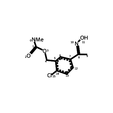 CNC(=O)OCc1cc(C(C)=NO)ccc1Cl